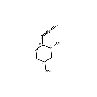 CC(=O)O[C@H]1CC[C@@H](N=[N+]=[N-])[C@H](O)C1